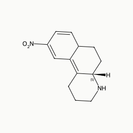 O=[N+]([O-])C1=CC2=C3CCCN[C@H]3CCC2C=C1